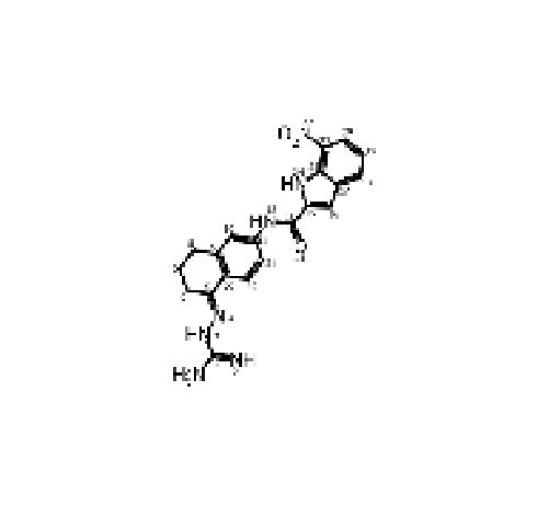 N=C(N)N/N=C1\CCCc2cc(NC(=O)c3cc4cccc([N+](=O)[O-])c4[nH]3)ccc21